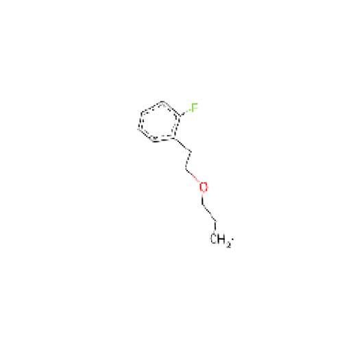 [CH2]CCOCCc1ccccc1F